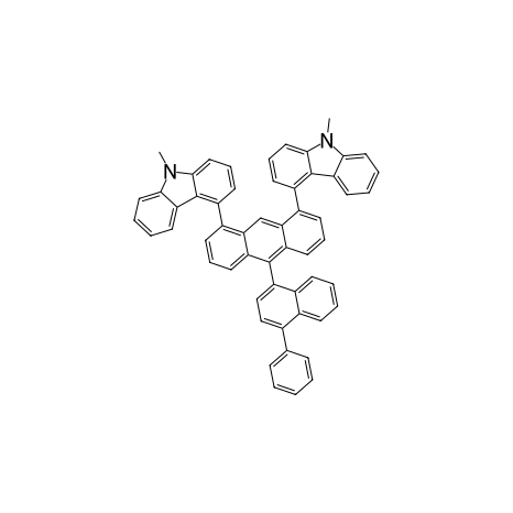 Cn1c2ccccc2c2c(-c3cccc4c(-c5ccc(-c6ccccc6)c6ccccc56)c5cccc(-c6cccc7c6c6ccccc6n7C)c5cc34)cccc21